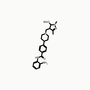 COC1C(CN2CCC(c3ccc(C(=O)Nc4ccccc4N)cc3)CC2)C(C)=NN1C